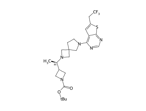 C[C@H](C1CN(C(=O)OC(C)(C)C)C1)N1CC2(CCN(c3ncnc4sc(CC(F)(F)F)cc34)C2)C1